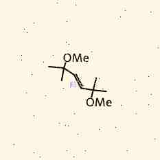 COC(C)(C)/C=C/C(C)(C)OC